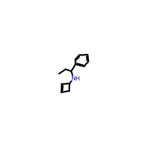 CCC(NC1C=CC1)c1ccccc1